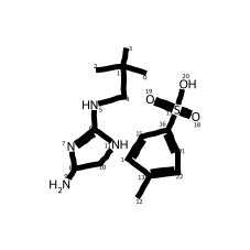 CC(C)(C)CNC1=NC(N)CN1.Cc1ccc(S(=O)(=O)O)cc1